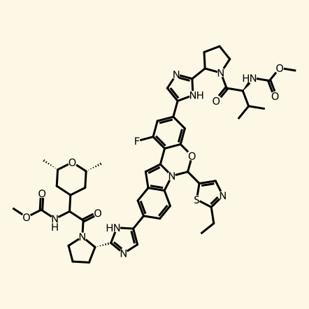 CCc1ncc(C2Oc3cc(-c4cnc(C5CCCN5C(=O)[C@@H](NC(=O)OC)C(C)C)[nH]4)cc(F)c3-c3cc4cc(-c5cnc([C@@H]6CCCN6C(=O)C(NC(=O)OC)C6C[C@@H](C)O[C@@H](C)C6)[nH]5)ccc4n32)s1